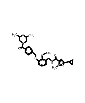 COc1c(CNC(=O)c2cc(C3CC3)nn2C)cccc1OCc1ccc(C(=O)N2CC(C)OC(C)C2)cc1